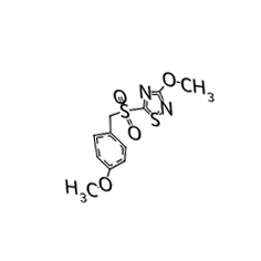 COc1ccc(CS(=O)(=O)c2nc(OC)ns2)cc1